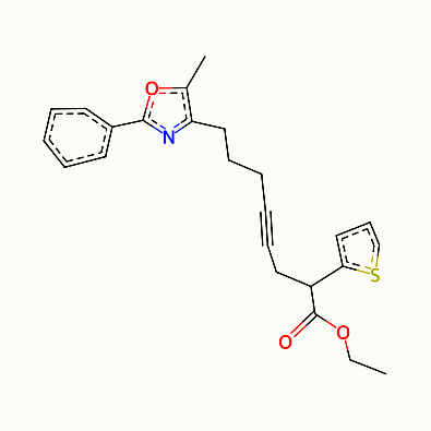 CCOC(=O)C(CC#CCCCc1nc(-c2ccccc2)oc1C)c1cccs1